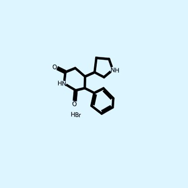 Br.O=C1CC(C2CCNC2)C(c2ccccc2)C(=O)N1